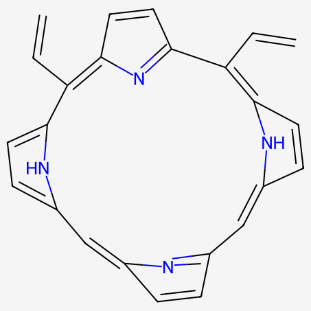 C=Cc1c2nc(c(C=C)c3ccc(cc4nc(cc5ccc1[nH]5)C=C4)[nH]3)C=C2